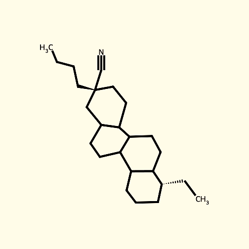 CCCC[C@@]1(C#N)CCC2C(CCC3C2CCC2C3CCC[C@H]2CC)C1